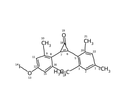 Cc1cc(C)c(-c2c(-c3c(C)cc(OI)cc3C)c2=O)c(C)c1